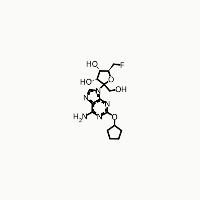 Nc1nc(OC2CCCC2)nc2c1ncn2C1(CO)O[C@H](CF)[C@@H](O)[C@H]1O